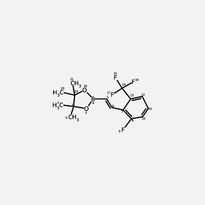 CC1(C)OB(C=Cc2c(F)cccc2C(F)(F)F)OC1(C)C